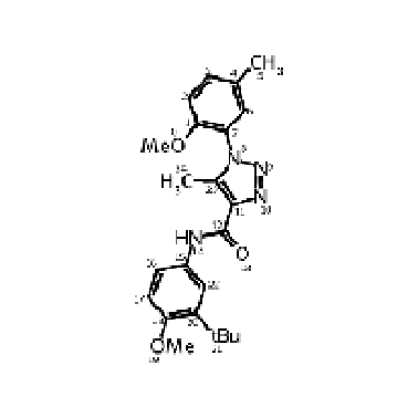 COc1ccc(C)cc1-n1nnc(C(=O)Nc2ccc(OC)c(C(C)(C)C)c2)c1C